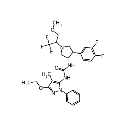 CCOc1nn(-c2ccccc2)c(NC(=O)N[C@@H]2CN(C(COC)C(F)(F)F)C[C@H]2c2ccc(F)c(F)c2)c1C